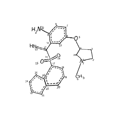 CN1CCC(Oc2ccc(N)c(C(=N)S(=O)(=O)c3cccc4ccccc34)c2)C1